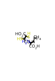 C.CC(C)CC(N)C(=O)O.O=C(O)C(S)C(S)C(=O)O